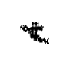 CN(C)CCn1cc(-c2ccc3c(c2)ncn3-c2cc(NC(=O)NC3CCCC3)cc(-c3ccc(F)cc3)c2)cn1